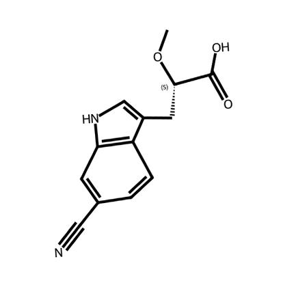 CO[C@@H](Cc1c[nH]c2cc(C#N)ccc12)C(=O)O